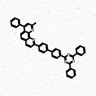 Cc1cc(-c2ccccc2)c2ccc3ccc(-c4ccc(-c5ccc(-c6nc(-c7ccccc7)nc(-c7ccccc7)n6)cc5)cc4)nc3c2n1